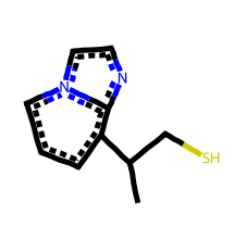 CC(CS)c1cccn2ccnc12